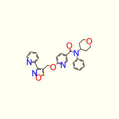 O=C(c1ccc(OCc2conc2-c2ccccn2)nc1)N(c1ccccc1)C1CCOCC1